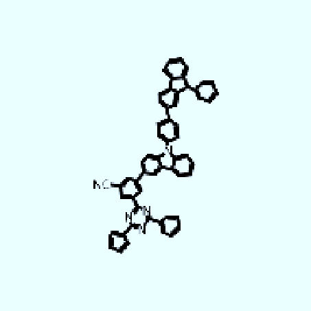 N#Cc1cc(-c2ccc3c(c2)c2ccccc2n3-c2ccc(-c3ccc4c(c3)C(c3ccccc3)c3ccccc3-4)cc2)cc(-c2nc(-c3ccccc3)nc(-c3ccccc3)n2)c1